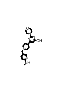 CNc1ccc(CN2CCC(c3cc(O)nc(N4CCOCC4)n3)CC2)cn1